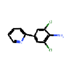 Nc1c(Cl)cc(-c2ccccn2)cc1Cl